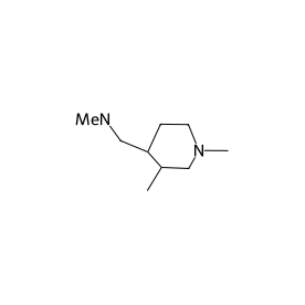 CNCC1CCN(C)CC1C